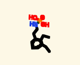 CCc1cccc(CCNP(=O)(O)O)c1CC